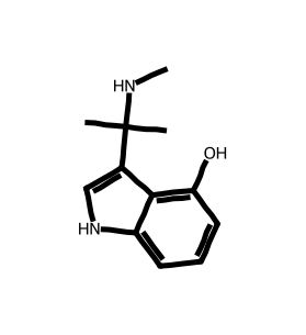 CNC(C)(C)c1c[nH]c2cccc(O)c12